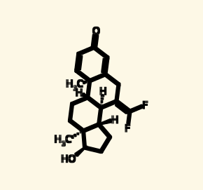 C[C@]12CC[C@H]3[C@@H](C(=C(F)F)CC4=CC(=O)C=C[C@@]43C)[C@@H]1CC[C@H]2O